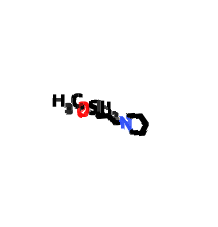 CO[SiH2]CCCN1CCCCC1